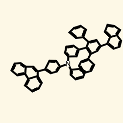 c1ccc(-c2cc(-c3cccc4ccccc34)cc(-c3ccccc3)c2-c2cccc(N(c3ccccc3)c3ccc(-c4cc5ccccc5c5ccccc45)cc3)c2)cc1